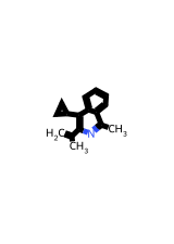 C=C(C)c1nc(C)c2ccccc2c1C1CC1